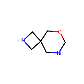 C1NCC2(CNC2)CO1